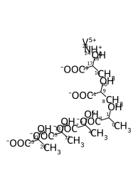 CC(O)C(=O)[O-].CC(O)C(=O)[O-].CC(O)C(=O)[O-].CC(O)C(=O)[O-].CC(O)C(=O)[O-].CC(O)C(=O)[O-].[NH4+].[V+5]